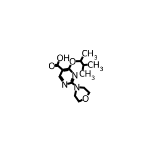 CC(C)C(C)Oc1nc(N2CCOCC2)ncc1C(=O)O